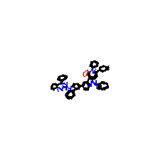 O=c1c2c3cc(-c4ccc5c(c4)c4ccccc4n5-c4nc(-c5ccccc5)c5ccccc5n4)ccc3n(-c3ccccc3)c2cc(-c2ccccc2)n1-c1ccccc1